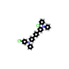 Clc1ccc(N(c2ccccc2)c2ccc(-c3ccc(-c4ccc(N(c5ccccc5)c5ccccc5Cl)cc4)cc3)cc2)cc1